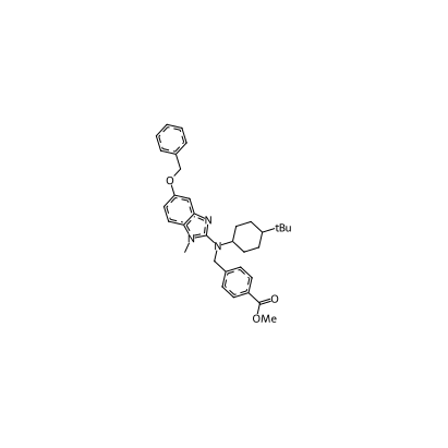 COC(=O)c1ccc(CN(c2nc3cc(OCc4ccccc4)ccc3n2C)C2CCC(C(C)(C)C)CC2)cc1